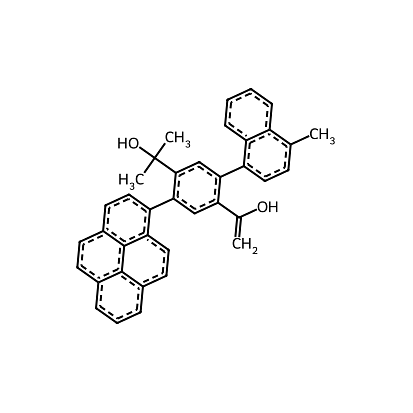 C=C(O)c1cc(-c2ccc3ccc4cccc5ccc2c3c45)c(C(C)(C)O)cc1-c1ccc(C)c2ccccc12